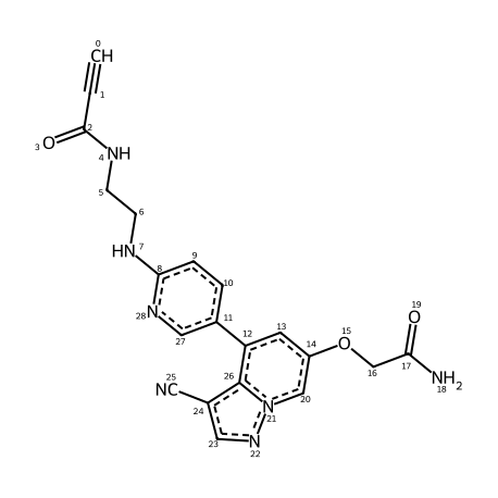 C#CC(=O)NCCNc1ccc(-c2cc(OCC(N)=O)cn3ncc(C#N)c23)cn1